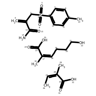 C=C(CS(=O)(=O)c1ccc(C)cc1)C(N)=O.CC(=CCCCO)C(=O)O.CC=C(C)C(=O)O